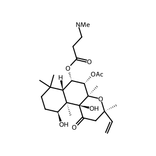 C=C[C@@]1(C)CC(=O)[C@]2(O)[C@@]3(C)[C@@H](O)CCC(C)(C)[C@@H]3[C@H](OC(=O)CCNC)[C@H](OC(C)=O)[C@@]2(C)O1